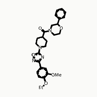 CCOc1ccc(-c2noc(N3CCC(C(=O)N4CCOC(c5ccccc5)C4)CC3)n2)cc1OC